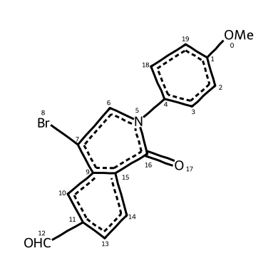 COc1ccc(-n2cc(Br)c3cc(C=O)ccc3c2=O)cc1